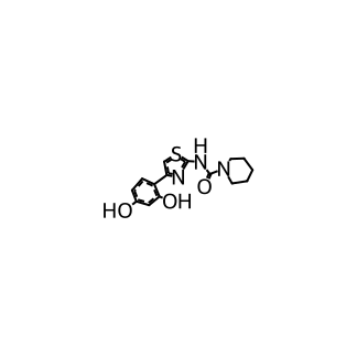 O=C(Nc1nc(-c2ccc(O)cc2O)cs1)N1CCCCC1